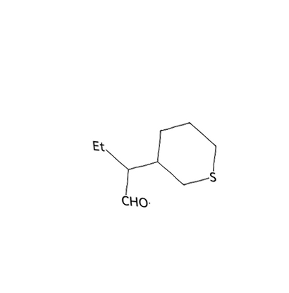 CCC([C]=O)C1CCCSC1